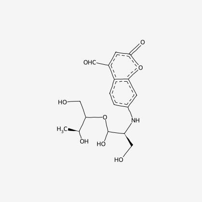 C[C@H](O)C(CO)OC(O)[C@H](CO)Nc1ccc2c(C=O)cc(=O)oc2c1